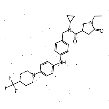 CCN1CC(C(=O)N(Cc2ccc(Nc3ccc(N4CCC(C(F)(F)F)CC4)cc3)cc2)C2CC2)CC1=O